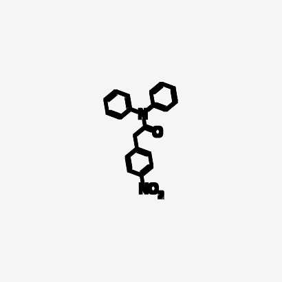 O=C(Cc1ccc([N+](=O)[O-])cc1)N(c1ccccc1)c1ccccc1